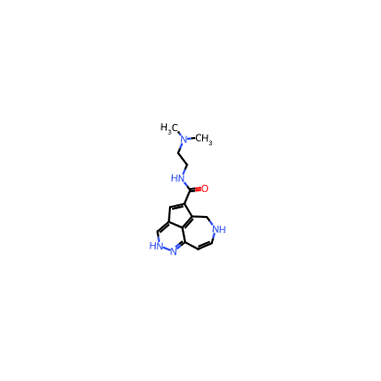 CN(C)CCNC(=O)c1cc2c[nH]nc3c-2c1CNC=C3